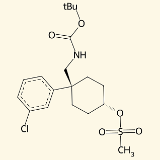 CC(C)(C)OC(=O)NC[C@]1(c2cccc(Cl)c2)CC[C@@H](OS(C)(=O)=O)CC1